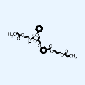 C=CC(=O)OCCCOC(=O)c1cccc(OCC(COc2ccccc2)OC(=O)NCCOC(=O)C=C)c1